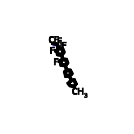 CC1CCC(c2ccc(-c3ccc(-c4cc(F)c(/C(F)=C/C(F)(F)F)c(F)c4)c(F)c3)cc2)CC1